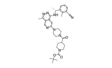 Cc1c(C#N)cccc1[C@@H](C)Nc1nnc(C)c2cnc(N3CCN(C(=O)C4CCN(C(=O)OC(C)(C)C)CC4)CC3)cc12